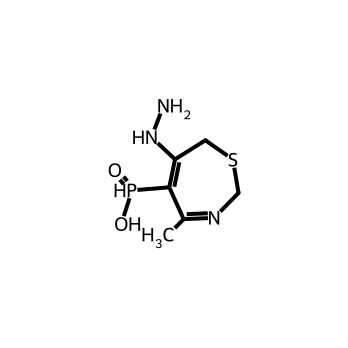 CC1=NCSCC(NN)=C1[PH](=O)O